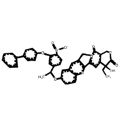 CCC1(O)C(=O)OCc2c1cc1n(c2=O)Cc2cc3cc(OC(C)c4ccc([N+](=O)[O-])c(Oc5ccc(-c6ccccc6)cc5)c4)ccc3nc2-1